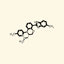 COC[C@H]1COc2c(-c3nc4cc(C)ccc4[nH]3)cccc2N1c1ccc(C)cn1